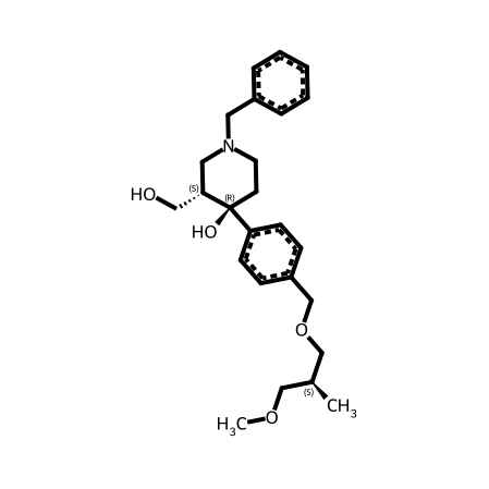 COC[C@H](C)COCc1ccc([C@@]2(O)CCN(Cc3ccccc3)C[C@H]2CO)cc1